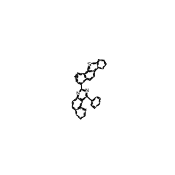 c1ccc(-c2nc(-c3cccc4c3ccc3c5ccccc5sc43)nc3ccc4ccccc4c23)cc1